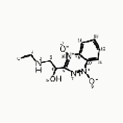 CCNCC(O)c1n[n+]([O-])c2ccccc2[n+]1[O-]